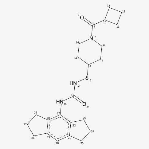 O=C(NSC1CCN(C(=O)C2CCC2)CC1)Nc1c2c(cc3c1CCC3)CCC2